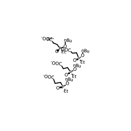 CCCCOP(=O)(CC)CCC(=O)[O-].CCCCOP(=O)(CC)CCC(=O)[O-].CCCCOP(=O)(CC)CCC(=O)[O-].CCCCOP(=O)(CC)CCC(=O)[O-].[Ti+4]